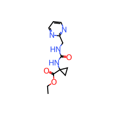 CCOC(=O)C1(NC(=O)NCc2ncccn2)CC1